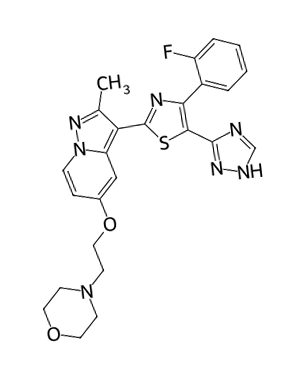 Cc1nn2ccc(OCCN3CCOCC3)cc2c1-c1nc(-c2ccccc2F)c(-c2nc[nH]n2)s1